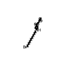 COC(=O)CCCOC(=O)c1ccc(NCCCCCCCCCCCCCCCCBr)cc1